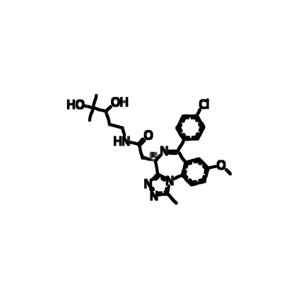 COc1ccc2c(c1)C(c1ccc(Cl)cc1)=N[C@H](CC(=O)NCCC(O)C(C)(C)O)c1nnc(C)n1-2